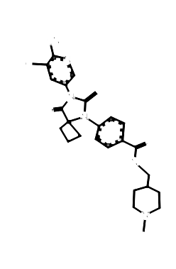 C=C1N(c2cnc(C#N)c(C(F)(F)F)c2)C(=O)C2(CCC2)N1c1ccc(C(=O)NCC2CCN(C)CC2)cc1